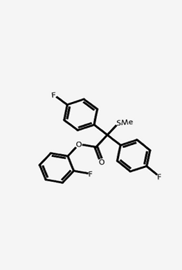 CSC(C(=O)Oc1ccccc1F)(c1ccc(F)cc1)c1ccc(F)cc1